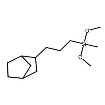 CO[Si](C)(CCCC1CC2CCC1C2)OC